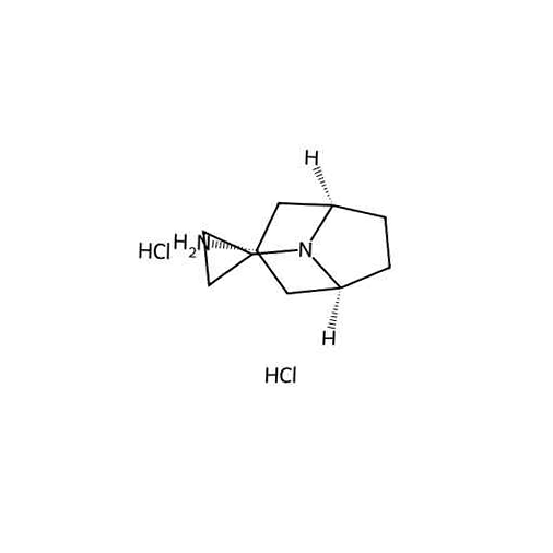 Cl.Cl.N[C@@H]1C[C@H]2CC[C@@H](C1)N2C1CC1